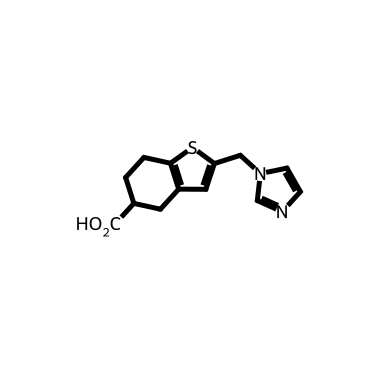 O=C(O)C1CCc2sc(Cn3ccnc3)cc2C1